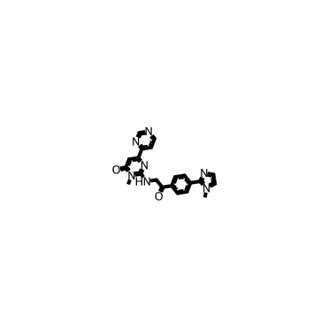 Cn1ccnc1-c1ccc(C(=O)CNc2nc(-c3ccncn3)cc(=O)n2C)cc1